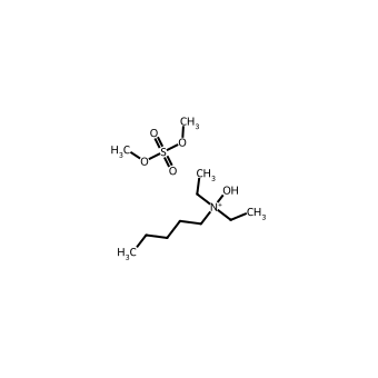 CCCCC[N+](O)(CC)CC.COS(=O)(=O)OC